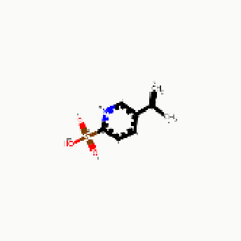 C=C(C)c1ccc(S(=O)(=O)O)nc1